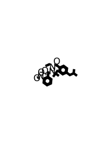 CCN(C(=O)c1ccc(CC(C)C)cc1)N(C(=O)c1ccccc1[N+](=O)[O-])C(C)(C)C